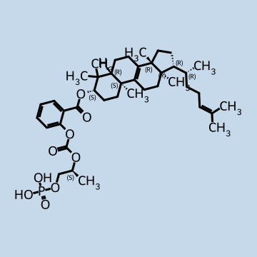 CC(C)=CCC[C@@H](C)[C@H]1CC[C@@]2(C)C3=C(CC[C@]12C)[C@@]1(C)CC[C@H](OC(=O)c2ccccc2OC(=O)O[C@@H](C)COP(=O)(O)O)C(C)(C)[C@@H]1CC3